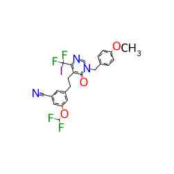 COc1ccc(Cn2cnc(C(F)(F)I)c(CCc3cc(C#N)cc(OC(F)F)c3)c2=O)cc1